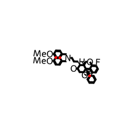 COc1ccc(CN(CCC[C@@H]2C(=O)CC[C@@]3(S(=O)(=O)c4ccccc4)c4c(F)ccc(F)c4OC[C@@H]23)Cc2ccc(OC)cc2)cc1